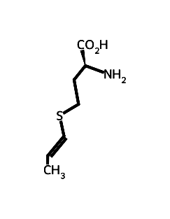 CC=CSCC[C@H](N)C(=O)O